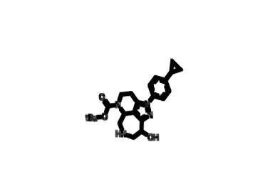 CC(C)(C)OC(=O)N1CCc2c3c(nn2-c2ccc(C4CC4)cc2)C(O)CNCC31